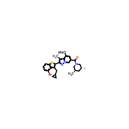 COc1cc(C(=O)N2C[C@H](C)C[C@@H](F)C2)cn2nc(-c3sc4cccc(Br)c4c3CC3CC3)c(C)c12